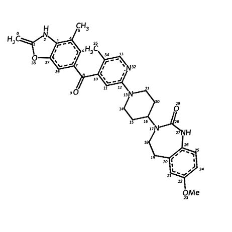 C=C1Nc2c(C)cc(C(=O)c3cc(N4CCC(N5CCc6cc(OC)ccc6NC5=O)CC4)ncc3C)cc2O1